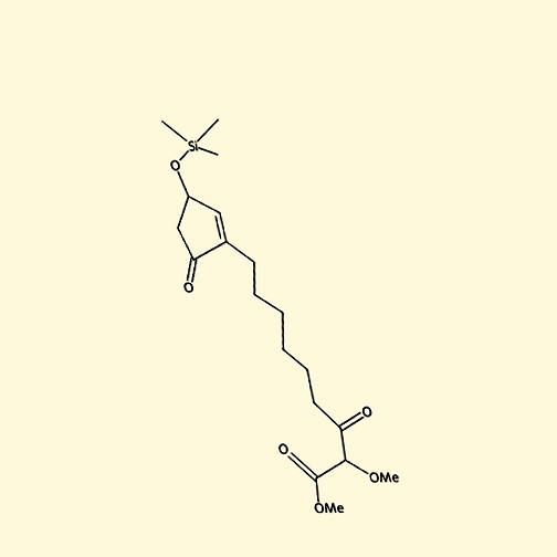 COC(=O)C(OC)C(=O)CCCCCCC1=CC(O[Si](C)(C)C)CC1=O